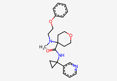 CN(CCOc1ccccc1)C1(C(=O)NC2(c3cccnc3)CC2)CCOCC1